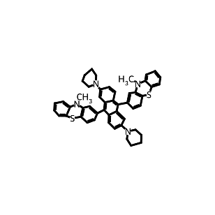 CN1c2ccccc2Sc2ccc(-c3c4ccc(N5CCCCC5)cc4c(-c4ccc5c(c4)N(C)c4ccccc4S5)c4ccc(N5CCCCC5)cc34)cc21